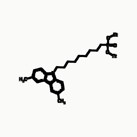 CCOP(=O)(CCCCCCCCCn1c2ccc(C)cc2c2cc(C)ccc21)OCC